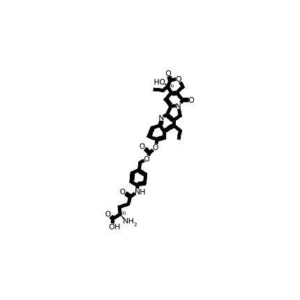 CCc1c2c(nc3ccc(OC(=O)OCc4ccc(NC(=O)CC[C@H](N)C(=O)O)cc4)cc13)-c1cc3c(c(=O)n1C2)COC(=O)[C@]3(O)CC